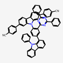 N#Cc1ccc(-c2ccc3c4ccc(-c5ccc(C#N)cc5)cc4n(-c4ccc(-c5cccc6c7ccccc7n(-c7ccccc7)c56)cc4-c4nc(-c5ccccc5)nc(-c5ccccc5)n4)c3c2)cc1